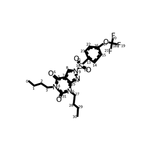 CCCCn1c(=O)c2cn(S(=O)(=O)c3ccc(OC(F)(F)F)cc3)nc2n(CCCC)c1=O